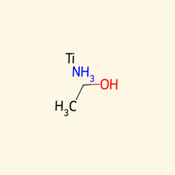 CCO.N.[Ti]